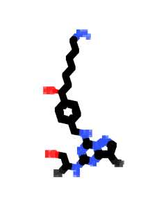 CCC(CO)Nc1nc(NCc2ccc([C@H](O)CCCCCCN)cc2)n2ncc(C(C)C)c2n1